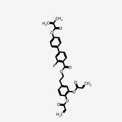 C=CC(=O)Oc1ccc(CCOC(=O)c2ccc(-c3ccc(OC(=O)C(=C)C)cc3)cc2F)cc1OC(=O)C=C